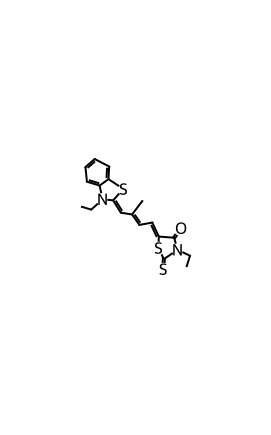 CCN1C(=O)/C(=C/C=C(C)/C=C2\Sc3ccccc3N2CC)SC1=S